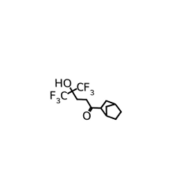 O=C(CCC(O)(C(F)(F)F)C(F)(F)F)C1CC2CCC1C2